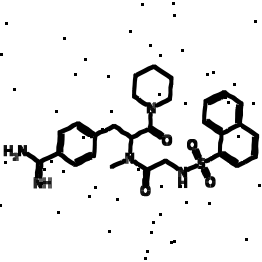 CN(C(=O)CNS(=O)(=O)c1cccc2ccccc12)C(Cc1ccc(C(=N)N)cc1)C(=O)N1CCCCC1